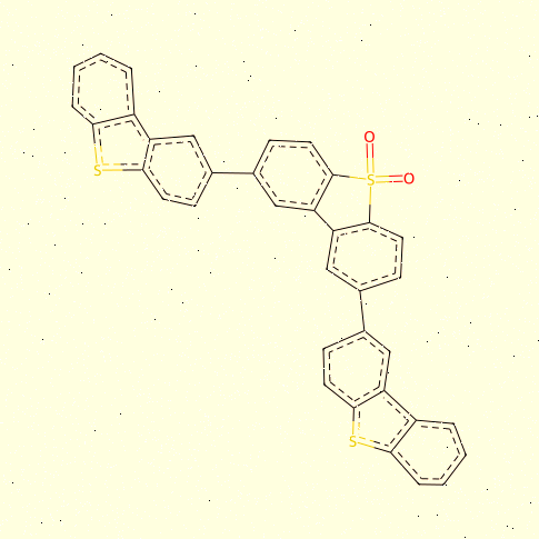 O=S1(=O)c2ccc(-c3ccc4sc5ccccc5c4c3)cc2-c2cc(-c3ccc4sc5ccccc5c4c3)ccc21